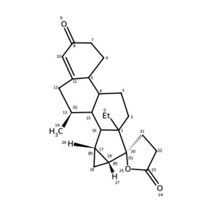 CCC12CCC3C4CCC(=O)C=C4C[C@H](C)C3C1[C@H]1C[C@H]1[C@@]21CCC(=O)O1